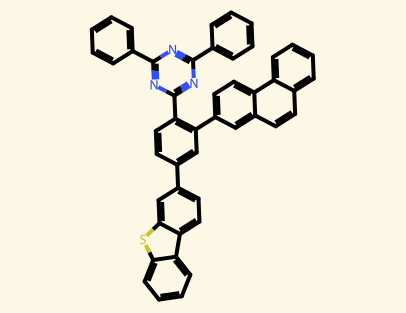 c1ccc(-c2nc(-c3ccccc3)nc(-c3ccc(-c4ccc5c(c4)sc4ccccc45)cc3-c3ccc4c(ccc5ccccc54)c3)n2)cc1